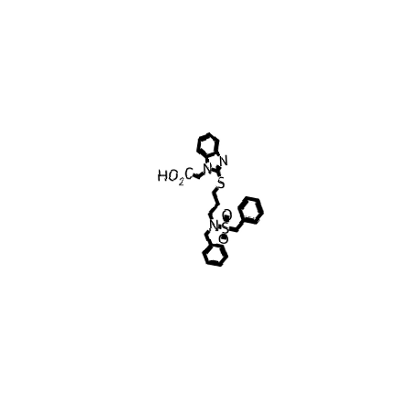 O=C(O)Cn1c(SCCCN(Cc2ccccc2)S(=O)(=O)Cc2ccccc2)nc2ccccc21